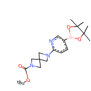 CC(C)(C)OC(=O)N1CC2(C1)CN(c1ccc(B3OC(C)(C)C(C)(C)O3)cn1)C2